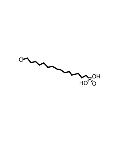 O=P(O)(O)CCCCCCCCCCCCCCCCl